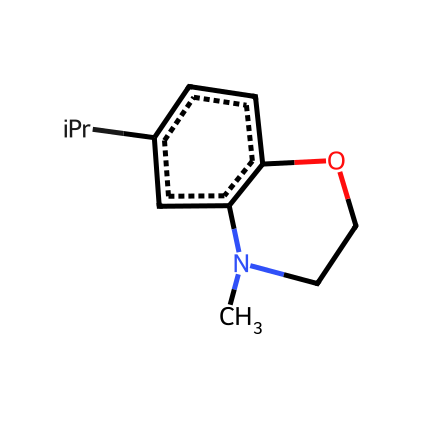 CC(C)c1ccc2c(c1)N(C)CCO2